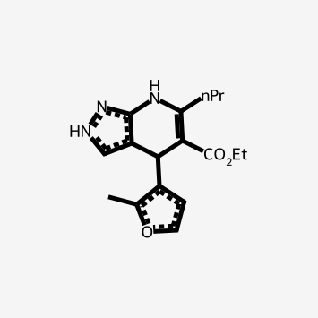 CCCC1=C(C(=O)OCC)C(c2ccoc2C)c2c[nH]nc2N1